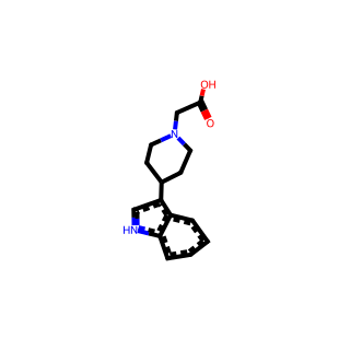 O=C(O)CN1CCC(c2c[nH]c3ccccc23)CC1